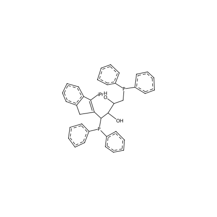 CC(C)C1=C(C(C(O)C(O)CP(c2ccccc2)c2ccccc2)P(c2ccccc2)c2ccccc2)Cc2ccccc21